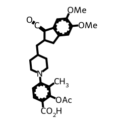 COc1cc2c(cc1OC)C(=C=O)C(CC1CCN(c3ccc(C(=O)O)c(OC(C)=O)c3C)CC1)C2